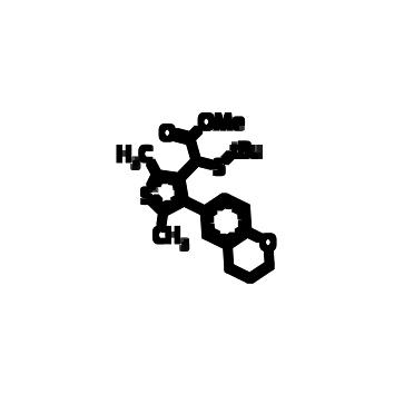 COC(=O)C(SC(C)(C)C)c1c(C)sc(C)c1-c1ccc2c(c1)CCCO2